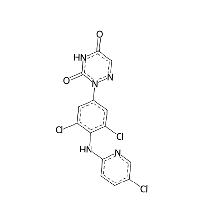 O=c1cnn(-c2cc(Cl)c(Nc3ccc(Cl)cn3)c(Cl)c2)c(=O)[nH]1